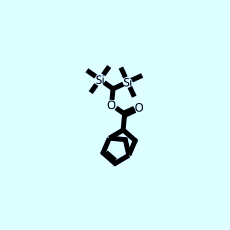 C[Si](C)(C)C(OC(=O)C1CC2C=CC1C2)[Si](C)(C)C